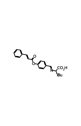 CCC(C)C(/N=C/c1ccc(OC(=O)C=Cc2ccccc2)cc1)C(=O)O